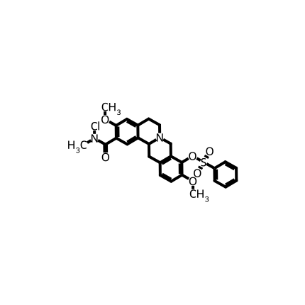 COc1cc2c(cc1C(=O)N(C)Cl)C1Cc3ccc(OC)c(OS(=O)(=O)c4ccccc4)c3CN1CC2